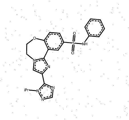 CC(C)n1ncnc1-c1cn2c(n1)-c1cc(S(=O)(=O)Nc3ccccc3)ccc1OCC2